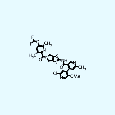 COc1cnc(Cl)cc1-c1cc(C)ncc1C(=O)Nc1nc2c(s1)CN(C(=O)c1nc(C)c(OC(F)F)cc1C)C2